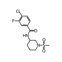 CS(=O)(=O)N1CCCC(NC(=O)c2ccc(Cl)c(F)c2)C1